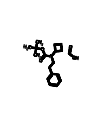 CC(C)(C)OC(=O)N(CCc1ccccc1)C1CCC1.O=CO